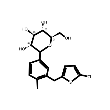 Cc1ccc(C2O[C@H](CO)[C@@H](O)[C@H](O)[C@H]2O)cc1Cc1ccc(Cl)s1